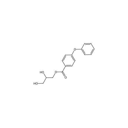 O=C(OCC(O)CO)c1ccc(Oc2ccccc2)cc1